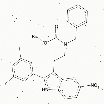 Cc1cc(C)cc(-c2[nH]c3ccc([N+](=O)[O-])cc3c2CCN(Cc2ccccc2)C(=O)OC(C)(C)C)c1